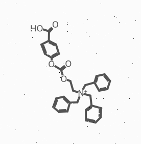 O=C(OCC[N+](Cc1ccccc1)(Cc1ccccc1)Cc1ccccc1)Oc1ccc(C(=O)O)cc1